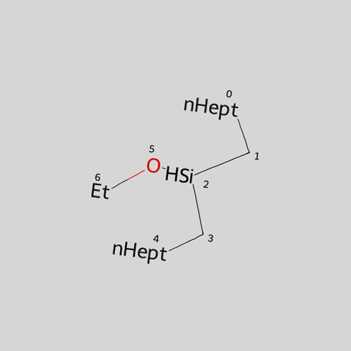 CCCCCCCC[SiH](CCCCCCCC)OCC